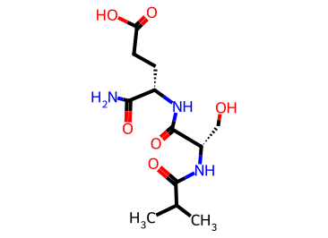 CC(C)C(=O)N[C@@H](CO)C(=O)N[C@@H](CCC(=O)O)C(N)=O